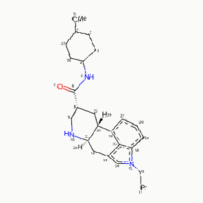 COC1CCC(NC(=O)[C@H]2CN[C@@H]3Cc4cn(CC(C)C)c5cccc(c45)[C@H]3C2)CC1